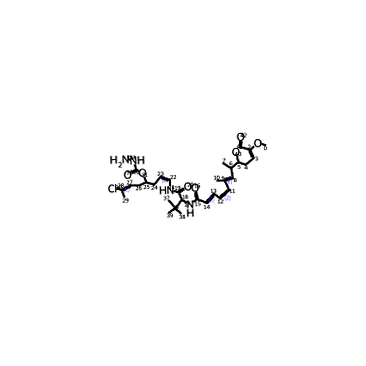 COC1=CCC(C(C)/C=C(C)/C=C\C=C\C(=O)NC(C(=O)N/C=C\CC(C/C=C(\C)Cl)OC(=O)NN)C(C)(C)C)OC1=O